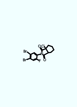 O=C1C2CCCCC2(Cl)C(=O)N1c1cc(Br)c(Br)cc1F